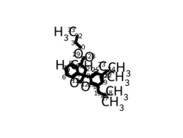 C=C(CC1(c2ccccc2)C(=O)Oc2c(CC(C)C)cc(C(C)(C)C)cc21)C(=O)OCCCC